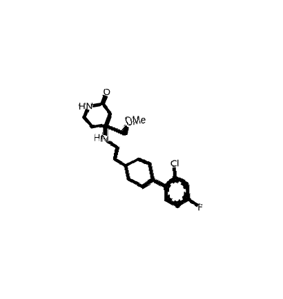 COCC1(NCCC2CCC(c3ccc(F)cc3Cl)CC2)CCNC(=O)C1